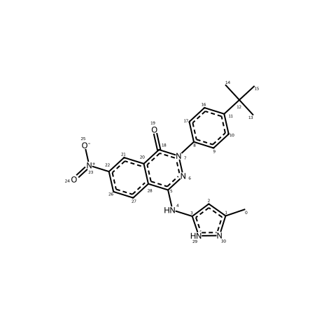 Cc1cc(Nc2nn(-c3ccc(C(C)(C)C)cc3)c(=O)c3cc([N+](=O)[O-])ccc23)[nH]n1